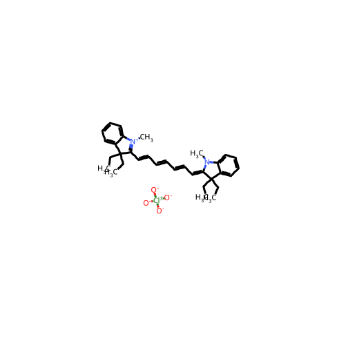 CCC1(CC)C(/C=C/C=C/C=C/C=C2\N(C)c3ccccc3C2(CC)CC)=[N+](C)c2ccccc21.[O-][Cl+3]([O-])([O-])[O-]